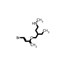 C=C(/C=C/Br)OCC(CC)CCNC